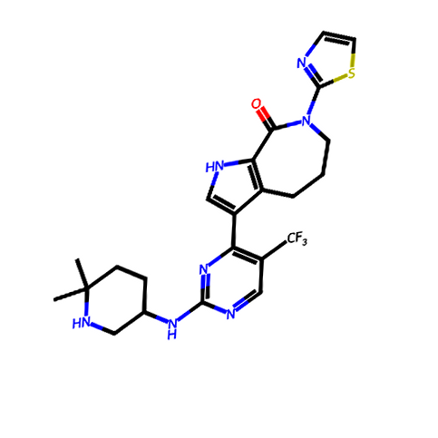 CC1(C)CCC(Nc2ncc(C(F)(F)F)c(-c3c[nH]c4c3CCCN(c3nccs3)C4=O)n2)CN1